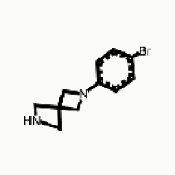 Brc1ccc(N2CC3(CNC3)C2)cc1